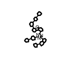 c1ccc(-c2ccc(-c3cccc(-c4cccc5c4oc4cccc(-c6nc(-c7ccc(-c8ccccc8)cc7)nc(-c7cccc8ccc(-c9ccccc9)cc78)n6)c45)c3)cc2)cc1